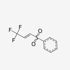 O=S(=O)(C=CC(F)(F)F)c1ccccc1